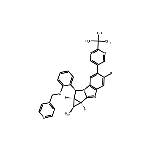 C[C@@H]1[C@@H]2c3nc4cc(F)c(-c5cnc(C(C)(C)O)nc5)cc4n3[C@H](c3ccccc3OCc3ccncc3)[C@H]12